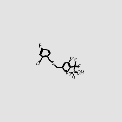 O=P(O)(O)C(F)(F)c1ccc(CSCc2ccc(F)cc2Cl)cc1Br